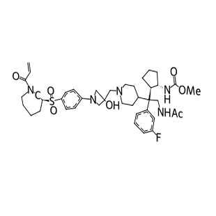 C=CC(=O)N1CCCC[C@H](S(=O)(=O)c2ccc(N3CC(O)(CN4CCC(C(CNC(C)=O)(c5cccc(F)c5)[C@H]5CCC[C@@H]5NC(=O)OC)CC4)C3)cc2)C1